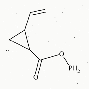 C=CC1CC1C(=O)OP